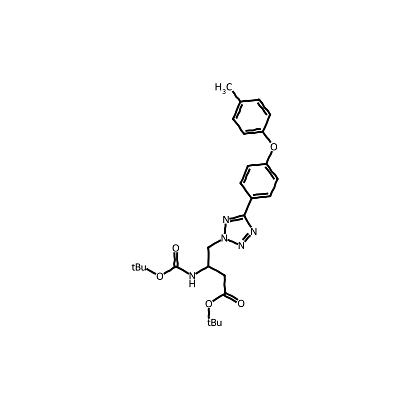 Cc1ccc(Oc2ccc(-c3nnn(CC(CC(=O)OC(C)(C)C)NC(=O)OC(C)(C)C)n3)cc2)cc1